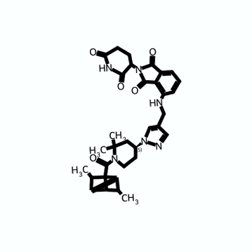 CC1C2=C3C(C)C2(C(=O)N2CC[C@H](n4cc(CNc5cccc6c5C(=O)N(C5CCC(=O)NC5=O)C6=O)cn4)CC2(C)C)C31